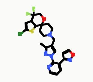 Cc1nn(-c2ncccc2-c2ccon2)cc1CN1CCC2(CC1)OCC(F)(F)C1C=C(Cl)SC12